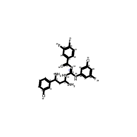 NC(CC(N)c1cccc(Cl)c1)N/C(=N\C(=O)c1ccc(F)c(F)c1)Nc1cc(F)cc(Cl)c1